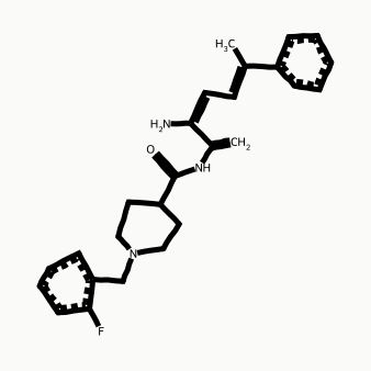 C=C(NC(=O)C1CCN(Cc2ccccc2F)CC1)/C(N)=C\C=C(/C)c1ccccc1